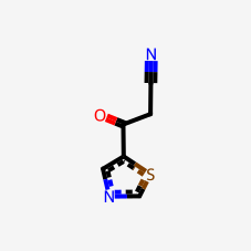 N#CCC(=O)c1cncs1